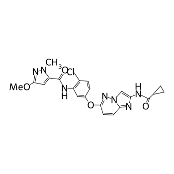 COc1cc(C(=O)Nc2cc(Oc3ccc4nc(NC(=O)C5CC5)cn4n3)ccc2Cl)n(C)n1